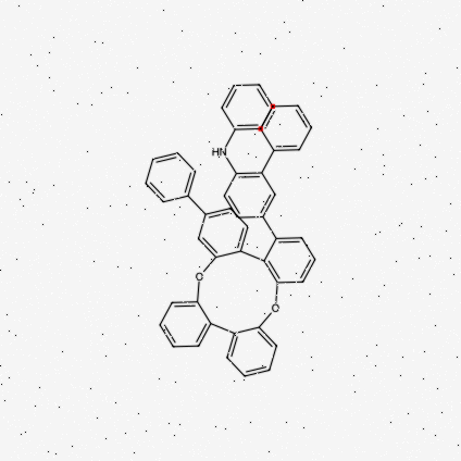 c1ccc(Nc2ccc(-c3cccc4c3-c3ccc(-c5ccccc5)cc3Oc3ccccc3-c3ccccc3O4)cc2-c2ccccc2)cc1